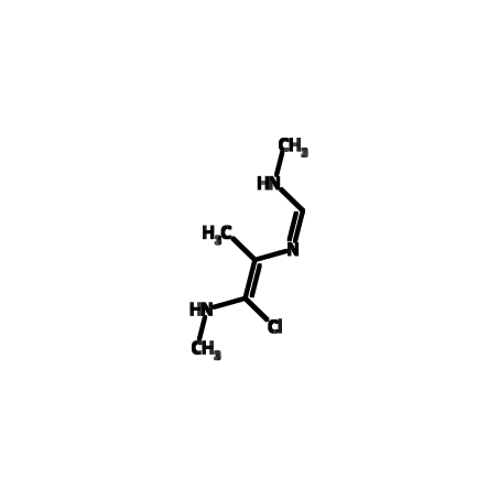 CN/C=N\C(C)=C(/Cl)NC